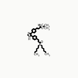 CCCCCCN(CCCCCC)C(=O)C=Cc1ccc(-c2[nH]cnc2-c2ccc(C=CC(=O)OC(C)(C)C)cc2)cc1